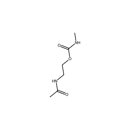 CNC(=O)OCCNC(C)=O